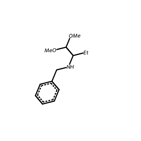 CCC(NCc1ccccc1)C(OC)OC